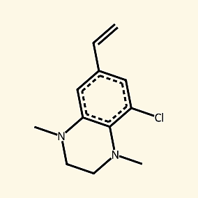 C=Cc1cc(Cl)c2c(c1)N(C)CCN2C